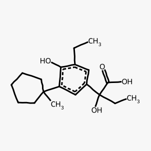 CCc1cc(C(O)(CC)C(=O)O)cc(C2(C)CCCCC2)c1O